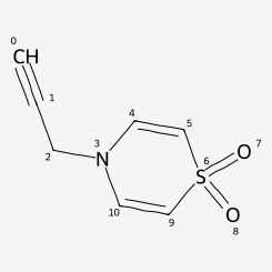 C#CCN1C=CS(=O)(=O)C=C1